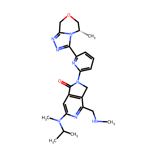 CNCc1nc(N(C)C(C)C)cc2c1CN(c1cccc(-c3nnc4n3[C@@H](C)COC4)n1)C2=O